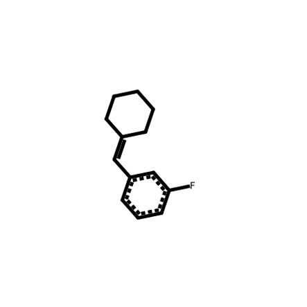 Fc1cccc(C=C2CCCCC2)c1